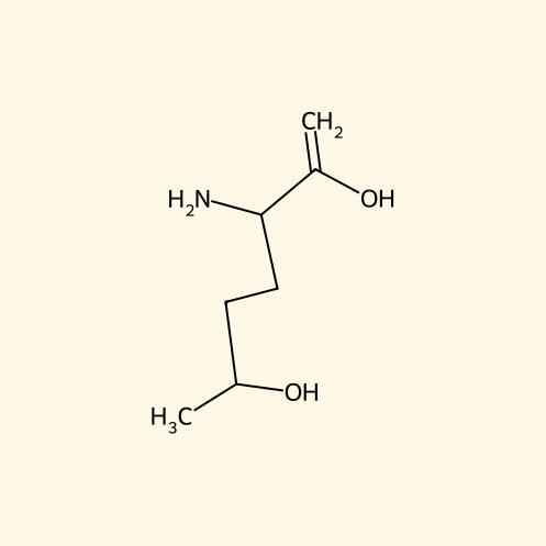 C=C(O)C(N)CCC(C)O